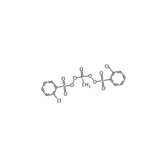 CP(=O)(OOS(=O)(=O)c1ccccc1Cl)OOS(=O)(=O)c1ccccc1Cl